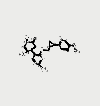 B=C1C=C(c2cnc(C)nc2OCC2CC2c2ccc(OC)cn2)C(C)=CN1C